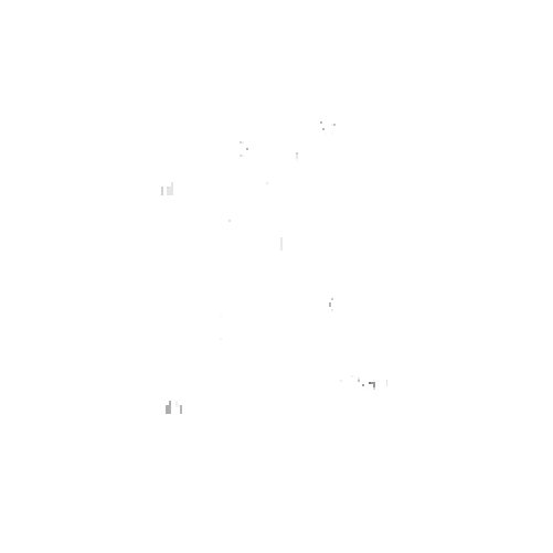 CCCCCc1ccc(C(C)C)c2c1C(=O)CC(CC(CCC)C(CC)C(=O)CC(C)=O)C2